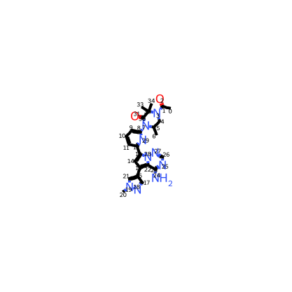 CC(=O)N1CC(C)N(c2cccc(-c3cc(-c4cnn(C)c4)c4c(N)ncnn34)n2)C(=O)C1(C)C